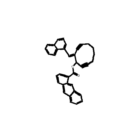 O=C(OC1C#CCCCCC#C/C1=C\c1cccc2ccccc12)c1cccc2cc3ccccc3cc12